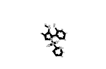 [CH2]c1cn(S(=O)(=O)c2ccccn2)c(-c2ccccc2F)c1OC